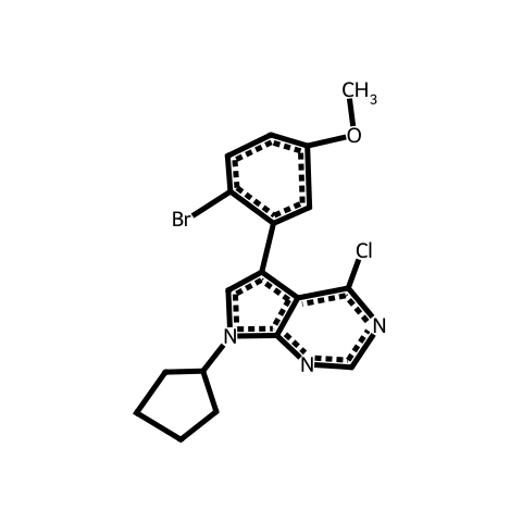 COc1ccc(Br)c(-c2cn(C3CCCC3)c3ncnc(Cl)c23)c1